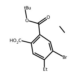 CC.CCc1cc(C(=O)O)c(C(=O)OC(C)(C)C)cc1Br